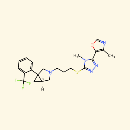 Cc1ncoc1-c1nnc(SCCCN2C[C@H]3CC3(c3ccccc3C(F)(F)F)C2)n1C